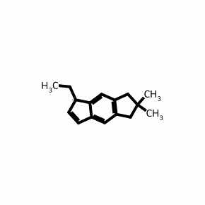 CC[C]1C=Cc2cc3c(cc21)CC(C)(C)C3